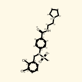 CS(=O)(=O)N(Cc1cccc(Cl)c1Cl)c1ccc(C(=O)NCCN2CCCC2)cc1